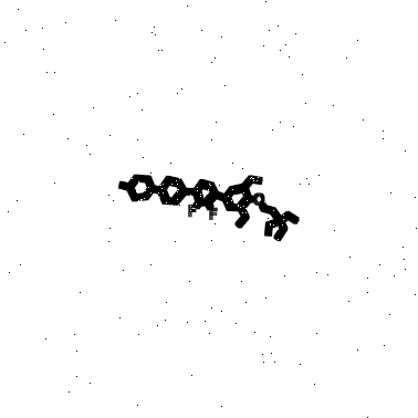 CCc1cc(-c2ccc(-c3ccc(C4CCC(C)CC4)cc3)c(F)c2F)cc(CC)c1OCCC(CC)(CC)CC